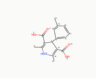 CC1=C(C(=O)O)C(c2cccc(C)c2)C(C(=O)O)=C(C)N1